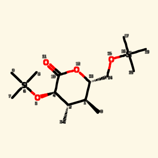 C[C@H]1[C@H](C)[C@@H](O[Si](C)(C)C)C(=O)O[C@@H]1CO[Si](C)(C)C